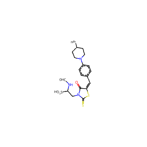 CCCC1CCN(c2ccc(C=C3SC(=S)N(CC(NC=O)S(=O)(=O)O)C3=O)cc2)CC1